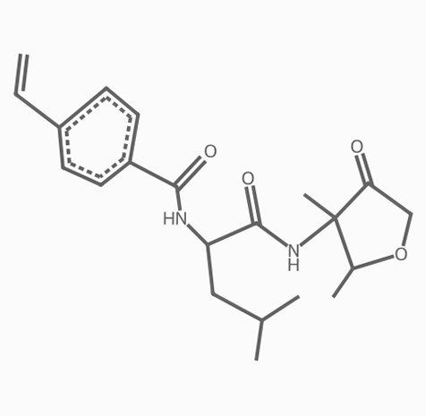 C=Cc1ccc(C(=O)NC(CC(C)C)C(=O)NC2(C)C(=O)COC2C)cc1